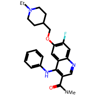 CCN1CCC(COc2cc3c(Nc4ccccc4)c(C(=O)NC)cnc3cc2F)CC1